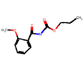 CCCOC(=O)[N]C(=O)c1ccccc1OC